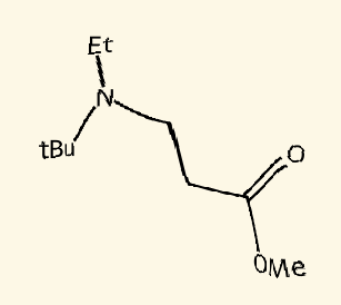 CCN(CCC(=O)OC)C(C)(C)C